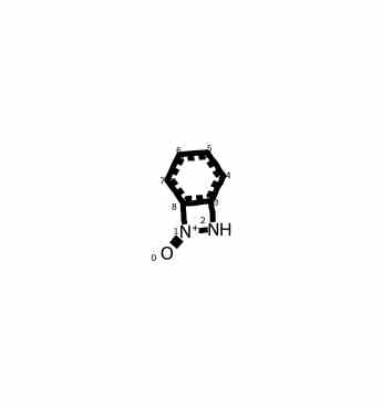 O=[N+]1Nc2ccccc21